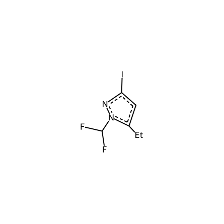 CCc1cc(I)nn1C(F)F